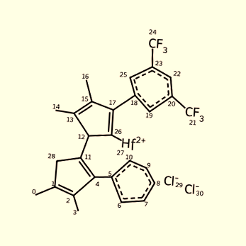 CC1=C(C)C(c2ccccc2)=C(C2C(C)=C(C)C(c3cc(C(F)(F)F)cc(C(F)(F)F)c3)=[C]2[Hf+2])C1.[Cl-].[Cl-]